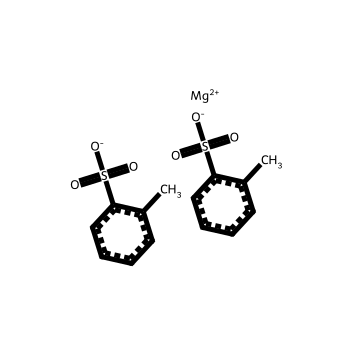 Cc1ccccc1S(=O)(=O)[O-].Cc1ccccc1S(=O)(=O)[O-].[Mg+2]